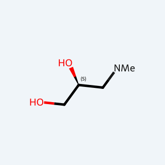 CNC[C@H](O)CO